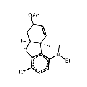 CCN(C)c1ccc(O)c2c1[C@]1(C)C=C[C@H](OC(C)=O)C[C@@H]1O2